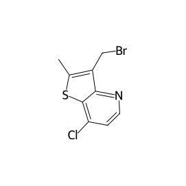 Cc1sc2c(Cl)ccnc2c1CBr